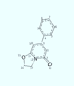 O=c1cc(-c2ccccc2)cc2n1CCO2